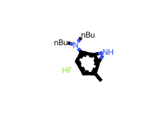 CCCCN(CCCC)c1ccc(C)c2c1N2.F